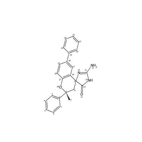 C[C@]1(c2ccccc2)CC2(N=C(N)NC2=O)c2cc(-c3ccccc3)ccc2O1